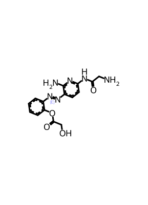 NCC(=O)Nc1ccc(/N=N/c2ccccc2OC(=O)CO)c(N)n1